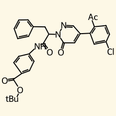 CC(=O)c1ccc(Cl)cc1-c1cnn(C(Cc2ccccc2)C(=O)Nc2ccc(C(=O)OC(C)(C)C)cc2)c(=O)c1